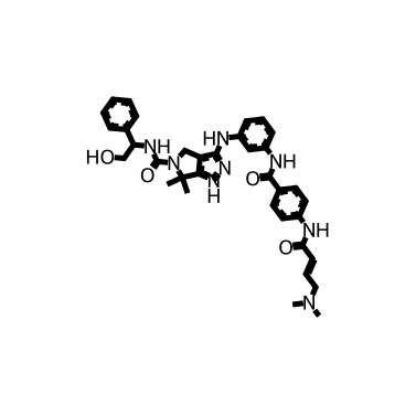 CN(C)C/C=C/C(=O)Nc1ccc(C(=O)Nc2cccc(Nc3n[nH]c4c3CN(C(=O)NC(CO)c3ccccc3)C4(C)C)c2)cc1